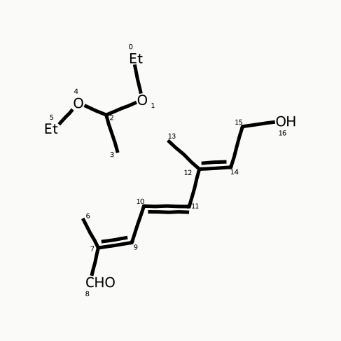 CCOC(C)OCC.C\C(C=O)=C/C=C/C(C)=C/CO